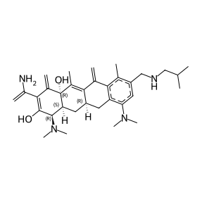 C=C(N)C1=C(O)[C@H](N(C)C)[C@@H]2C[C@@H]3Cc4c(N(C)C)cc(CNCC(C)C)c(C)c4C(=C)C3=C(C)[C@]2(O)C1=C